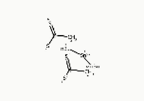 CC(=S)[S-].CC(=S)[S-].CCC[CH2][Sn+2][CH2]CCC